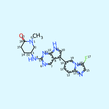 CN1C[C@@H](Nc2ncc3c(-c4ccc5ncc(F)n5c4)c[nH]c3n2)CCC1=O